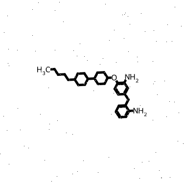 CCCCCC1CCC(C2CCC(Oc3ccc(Cc4ccccc4N)cc3N)CC2)CC1